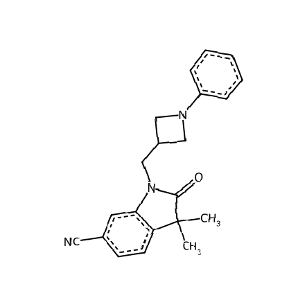 CC1(C)C(=O)N(CC2CN(c3ccccc3)C2)c2cc(C#N)ccc21